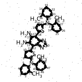 Cc1ccccc1N(c1ccc(-c2c(N)c(N)c(-c3ccc(N(c4ccccc4C)c4ccccc4C)s3)c3nsnc23)s1)c1ccccc1C